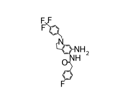 Nc1cc2c(cc1NC(=O)Cc1ccc(F)cc1)CCN2Cc1ccc(C(F)(F)F)cc1